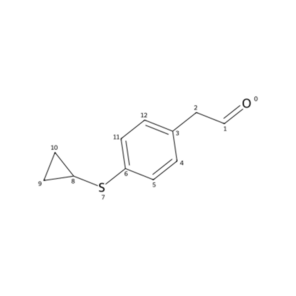 O=CCc1ccc(SC2CC2)cc1